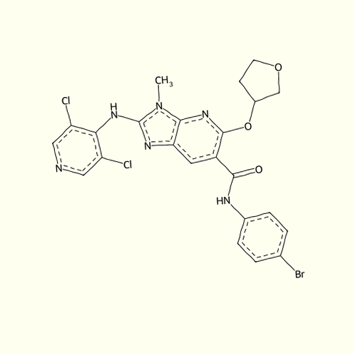 Cn1c(Nc2c(Cl)cncc2Cl)nc2cc(C(=O)Nc3ccc(Br)cc3)c(OC3CCOC3)nc21